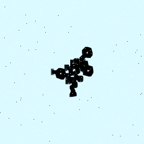 O=C(NOCC1CC1)c1cc(S(=O)(=O)N(Cc2ccccc2)Cc2ccccn2)c(F)c(F)c1Nc1ccc(I)cc1